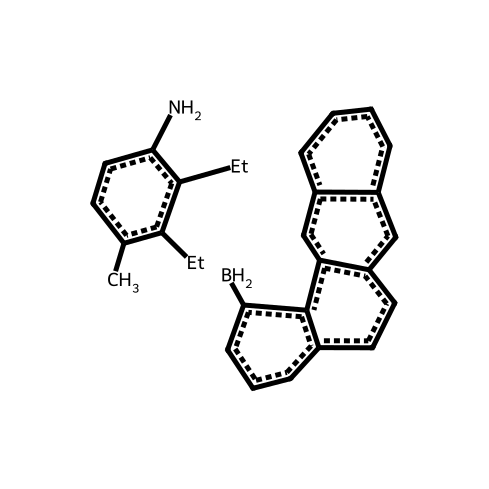 Bc1cccc2ccc3cc4ccccc4cc3c12.CCc1c(C)ccc(N)c1CC